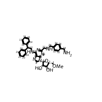 COC[C@H]1O[C@@H](n2cnc3c(NCC(c4ccccc4)c4ccccc4)nc(CNCc4ccc(CN)cc4)nc32)[C@H](O)[C@@H]1O